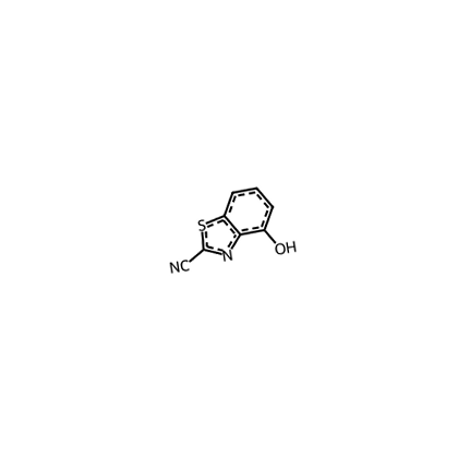 N#Cc1nc2c(O)cccc2s1